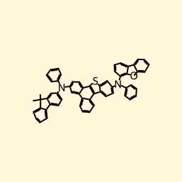 CC1(C)c2ccccc2-c2ccc(N(c3ccccc3)c3ccc4c(c3)c3ccccc3c3c5ccc(N(c6ccccc6)c6cccc7c6oc6ccccc67)cc5sc43)cc21